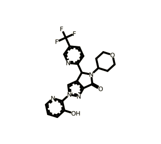 O=C1c2nn(-c3ncccc3O)cc2C(c2ccc(C(F)(F)F)cn2)N1C1CCOCC1